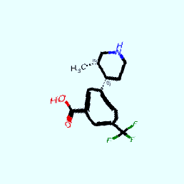 C[C@@H]1CNCC[C@@H]1c1cc(C(=O)O)cc(C(F)(F)F)c1